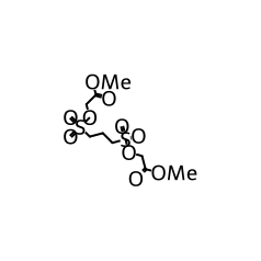 COC(=O)COS(=O)(=O)CCCS(=O)(=O)OCC(=O)OC